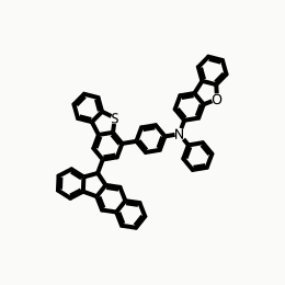 c1ccc(N(c2ccc(-c3cc(C4c5ccccc5-c5cc6ccccc6cc54)cc4c3sc3ccccc34)cc2)c2ccc3c(c2)oc2ccccc23)cc1